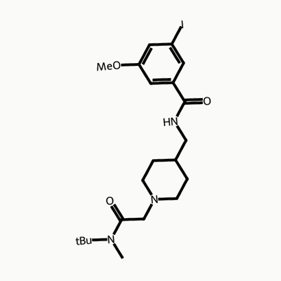 COc1cc(I)cc(C(=O)NCC2CCN(CC(=O)N(C)C(C)(C)C)CC2)c1